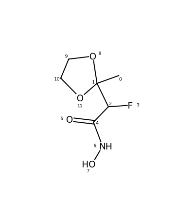 CC1(C(F)C(=O)NO)OCCO1